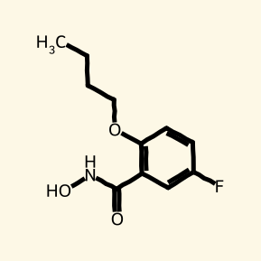 CCCCOc1ccc(F)cc1C(=O)NO